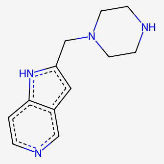 c1cc2[nH]c(CN3CCNCC3)cc2cn1